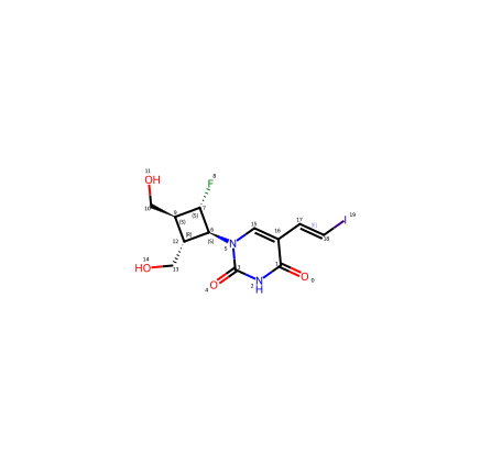 O=c1[nH]c(=O)n([C@@H]2[C@@H](F)[C@H](CO)[C@H]2CO)cc1/C=C/I